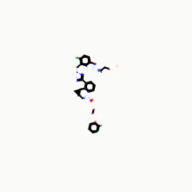 Cc1c(Cl)cccc1OCCOC(=O)N1C[C@@H]2C[C@@H]2c2c(-c3cnn(Cc4cc(C(=O)N[C@@H](CCO)C(=O)O)ccc4Cl)c3)cccc21